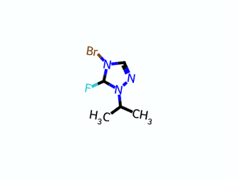 CC(C)N1N=CN(Br)C1F